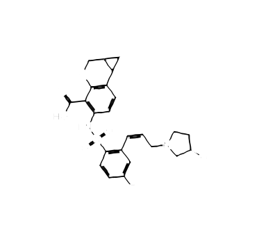 O=C(O)c1c(NS(=O)(=O)c2ccc(F)cc2/C=C\CN2CC[C@@H](O)C2)ccc2c1OCC1CC21